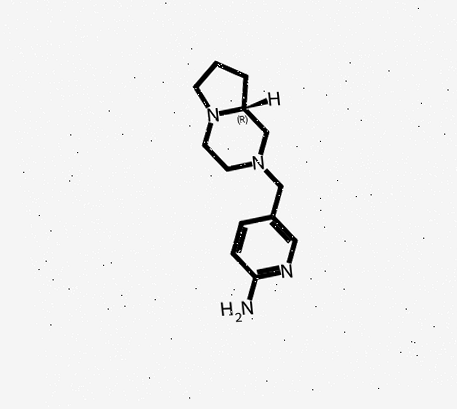 Nc1ccc(CN2CCN3CCC[C@@H]3C2)cn1